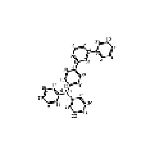 c1ccc(-c2cccc(-c3ccc(N(c4ccccc4)c4ccccc4)cc3)c2)cc1